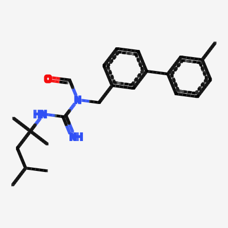 Cc1cccc(-c2cccc(CN(C=O)C(=N)NC(C)(C)CC(C)C)c2)c1